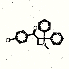 CN1CC(C(=O)c2ccc(Cl)cc2)C1(c1ccccc1)c1ccccc1